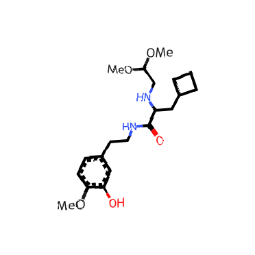 COc1ccc(CCNC(=O)C(CC2CCC2)NCC(OC)OC)cc1O